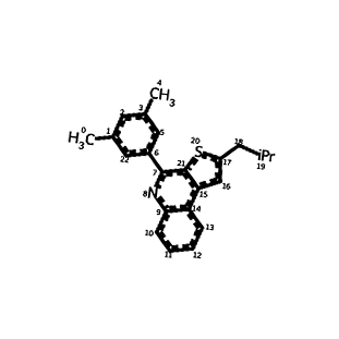 Cc1cc(C)cc(-c2nc3ccccc3c3cc(CC(C)C)sc23)c1